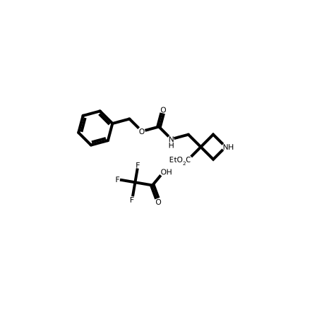 CCOC(=O)C1(CNC(=O)OCc2ccccc2)CNC1.O=C(O)C(F)(F)F